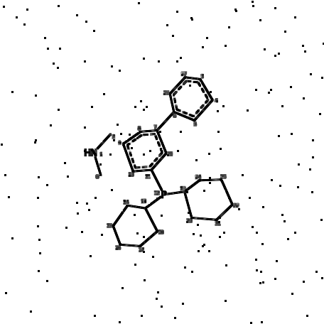 CNC.c1ccc(-c2cccc(P(C3CCCCC3)C3CCCCC3)c2)cc1